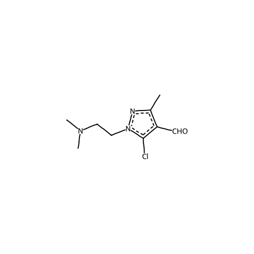 Cc1nn(CCN(C)C)c(Cl)c1C=O